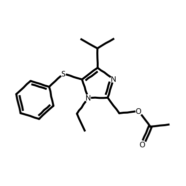 CCn1c(COC(C)=O)nc(C(C)C)c1Sc1ccccc1